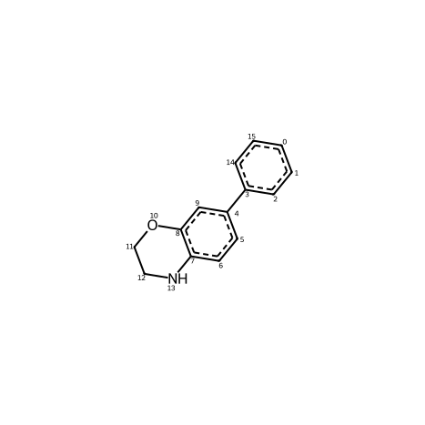 c1ccc(-c2ccc3c(c2)OCCN3)cc1